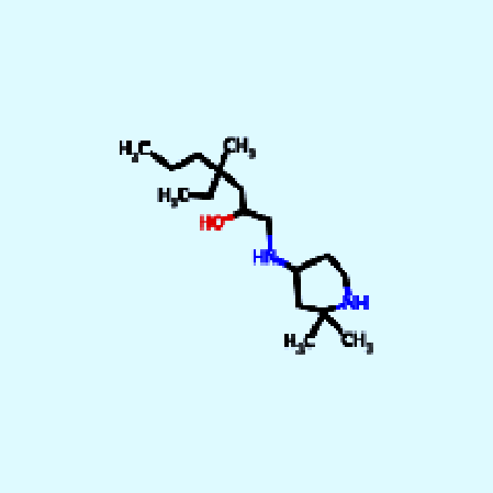 CCCC(C)(CC)CC(O)CNC1CCNC(C)(C)C1